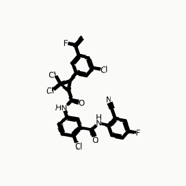 C=C(F)c1cc(Cl)cc(C2C(C(=O)Nc3ccc(Cl)c(C(=O)Nc4ccc(F)cc4C#N)c3)C2(Cl)Cl)c1